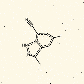 N#Cc1cc(F)cc2c(I)n[nH]c12